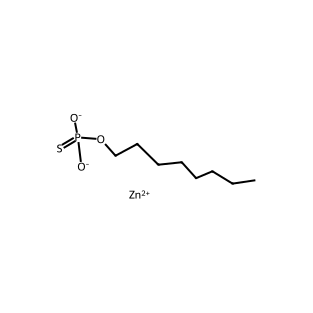 CCCCCCCCOP([O-])([O-])=S.[Zn+2]